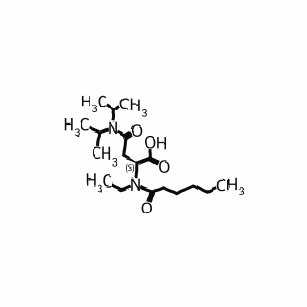 CCCCCC(=O)N(CC)[C@@H](CC(=O)N(C(C)C)C(C)C)C(=O)O